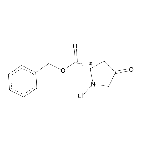 O=C1C[C@@H](C(=O)OCc2ccccc2)N(Cl)C1